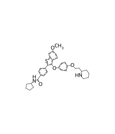 COc1ccc2c(Oc3ccc(OCCC4CCCCN4)cc3)c(-c3ccc(C(=O)NC4CCCC4)cc3)sc2c1